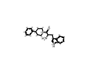 NC(Cc1c[nH]c2ccccc12)C(=O)N1CCC(c2ccccc2)CC1